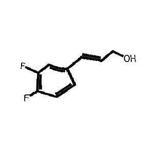 OCC=Cc1ccc(F)c(F)c1